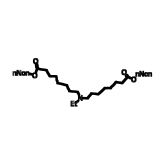 CCCCCCCCCOC(=O)CCCCCCCN(CC)CCCCCCCC(=O)OCCCCCCCCC